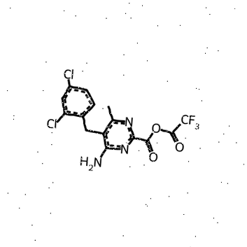 Cc1nc(C(=O)OC(=O)C(F)(F)F)nc(N)c1Cc1ccc(Cl)cc1Cl